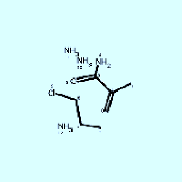 C=C(C)C(N)=O.CCCCl.N.N.N